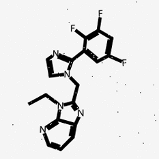 CCn1c(Cn2ccnc2-c2cc(F)cc(F)c2F)nc2cccnc21